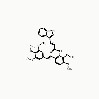 COc1cc(/C=C/c2ccc(OC)c(OC)c2NC(=O)/C=C/c2c[nH]c3ccccc23)cc(OC)c1OC